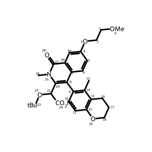 COCCOc1ccc2c(-c3ccc4c(c3C)CCCO4)c(C(OC(C)(C)C)C(=O)O)n(C)c(=O)c2c1